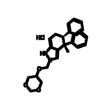 C[C@@]1(c2ccccc2)C2=CN(COC3COCOC3)NC2=CC[C@@H]1c1ccccc1.Cl